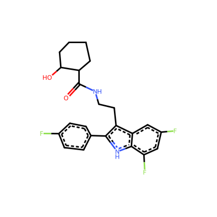 O=C(NCCc1c(-c2ccc(F)cc2)[nH]c2c(F)cc(F)cc12)C1CCCCC1O